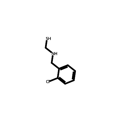 SCNCc1ccccc1Cl